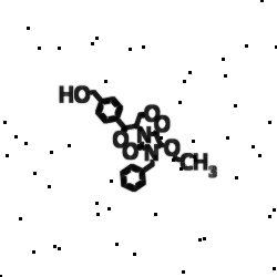 CCOC1C(=O)N(C(C=O)C(=O)c2ccc(CO)cc2)C(=O)N1Cc1ccccc1